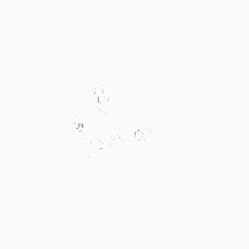 CC(C)C[C@@H]1NC(=O)[C@H](C)NC(=O)[C@H](NC(=O)NC(Cc2ccc(N)nc2)C(=O)O)CCCCNC(=O)[C@H](Cc2c[nH]c3ccccc23)NC(=O)[C@H](CC(C)C)N(C)C1=O